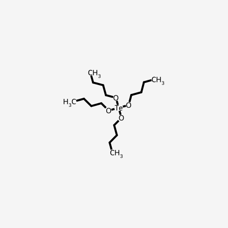 CCCCO[Te](OCCCC)(OCCCC)OCCCC